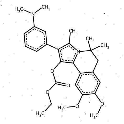 CCOC(=O)Oc1c(-c2cccc(N(C)C)c2)c(C)n2c1-c1cc(OC)c(OC)cc1CC2(C)C